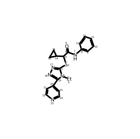 CCn1c(SC(C(=O)Nc2ccccc2)C2CC2)nnc1-c1ccncc1